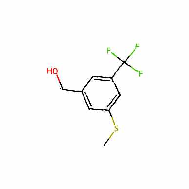 CSc1cc([CH]O)cc(C(F)(F)F)c1